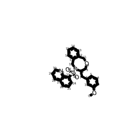 COc1cccc(CC2COCc3ccccc3CN2S(=O)(=O)c2cccc3cccnc23)c1